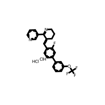 Cl.Cl.Fc1cc(-c2cccc(OC(F)(F)F)c2)ccc1C=C1CCCN=C1c1cccnc1